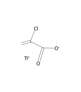 C=C(Cl)C(=O)[O-].[Tl+]